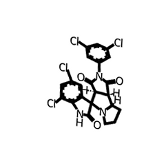 O=C1[C@H]2[C@H]3CCCN3C3(C(=O)Nc4c(Cl)cc(Cl)cc43)[C@H]2C(=O)N1c1cc(Cl)cc(Cl)c1